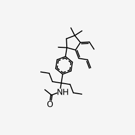 C=C/C=C1\C(=C/C)C(C)(C)CC1(C)c1ccc(C(CCC)(CCC)NC(C)=O)cc1